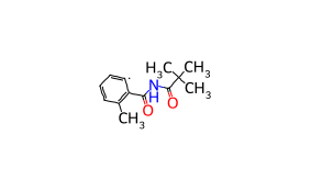 Cc1ccc[c]c1C(=O)NC(=O)C(C)(C)C